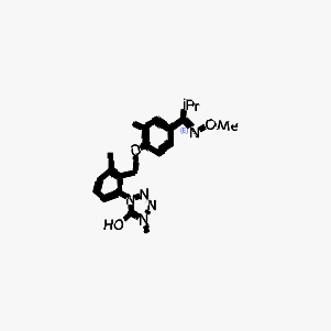 CO/N=C(/c1ccc(OCc2c(C)cccc2N2N=NN(C)C2O)c(C)c1)C(C)C